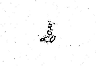 COc1cc(C(=O)N2CC[C@@H](NC(=O)c3ccccc3OC(F)(F)F)[C@H](N3CCCCC3)C2)cnc1OC